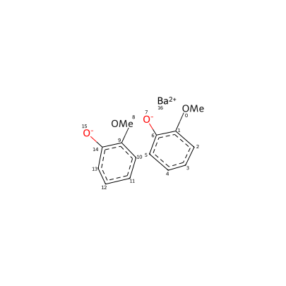 COc1ccccc1[O-].COc1ccccc1[O-].[Ba+2]